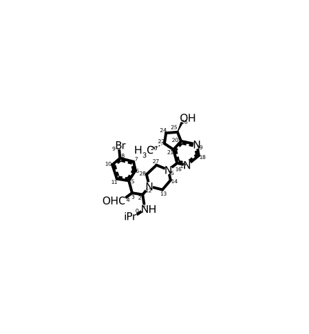 CC(C)NC(C(C=O)c1ccc(Br)cc1)N1CCN(c2ncnc3c2[C@H](C)C[C@H]3O)CC1